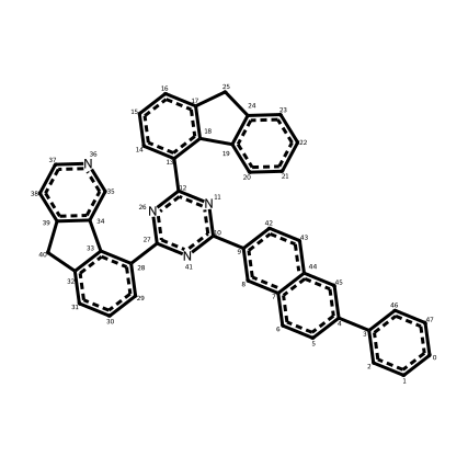 c1ccc(-c2ccc3cc(-c4nc(-c5cccc6c5-c5ccccc5C6)nc(-c5cccc6c5-c5cnccc5C6)n4)ccc3c2)cc1